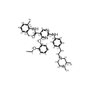 CCOc1ccccc1Oc1nc(Nc2ccc(CCN3CCN(C)C(C)C3)cc2)ncc1C(=O)Nc1c(C)cccc1C